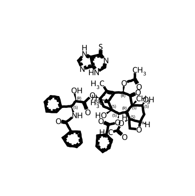 CC(=O)O[C@H]1C(=O)[C@@]2(C)[C@H]([C@H](OC(=O)c3ccccc3)[C@]3(O)C[C@H](OC(=O)[C@H](O)[C@@H](NC(=O)c4ccccc4)c4ccccc4)C(C)=C1C3(C)C)[C@]1(OC(C)=O)CO[C@@H]1C[C@@H]2O.S=c1nc[nH]c2nc[nH]c12